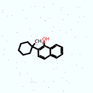 CC1(c2ccc3ccccc3c2O)CCCCC1